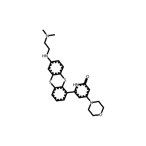 CN(C)CCNc1ccc2c(c1)Sc1cccc(-c3cc(N4CCOCC4)cc(=O)[nH]3)c1S2